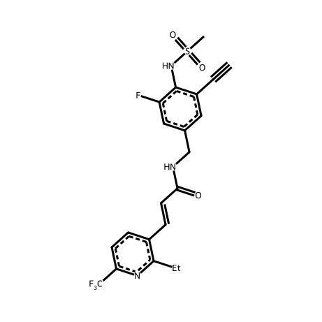 C#Cc1cc(CNC(=O)C=Cc2ccc(C(F)(F)F)nc2CC)cc(F)c1NS(C)(=O)=O